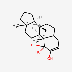 C[C@@]12CCC[C@H]1[C@@H]1CCC3CC=C(O)C(O)(O)[C@]3(C)[C@H]1CC2